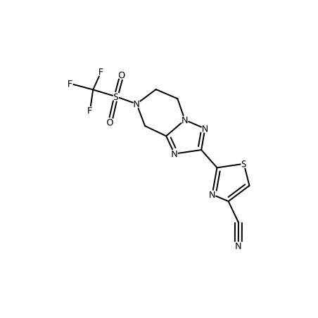 N#Cc1csc(-c2nc3n(n2)CCN(S(=O)(=O)C(F)(F)F)C3)n1